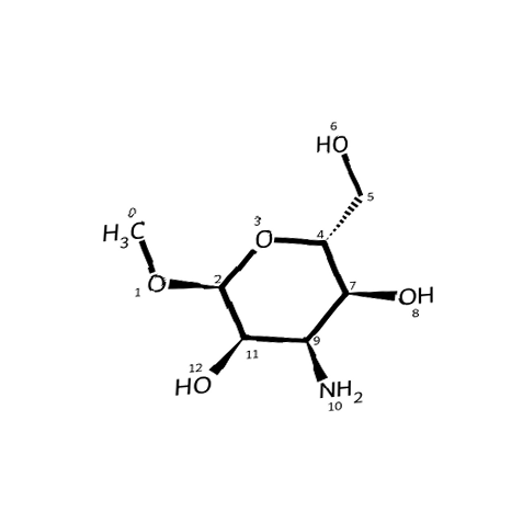 CO[C@H]1O[C@H](CO)[C@@H](O)[C@@H](N)[C@H]1O